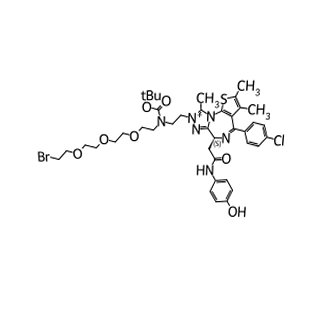 Cc1sc2c(c1C)C(c1ccc(Cl)cc1)=N[C@@H](CC(=O)Nc1ccc(O)cc1)c1n[n+](CCN(CCOCCOCCOCCBr)C(=O)OC(C)(C)C)c(C)n1-2